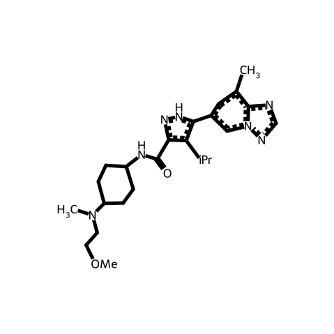 COCCN(C)C1CCC(NC(=O)c2n[nH]c(-c3cc(C)c4ncnn4c3)c2C(C)C)CC1